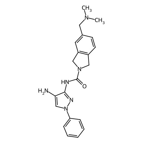 CN(C)Cc1ccc2c(c1)CN(C(=O)Nc1nn(-c3ccccc3)cc1N)C2